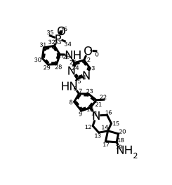 COc1cnc(Nc2ccc(N3CCC4(CC3)CC(N)C4)c(C)c2)nc1Nc1ccccc1P(C)(C)=O